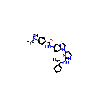 C[C@H](Nc1nccc(-n2cnc3cc(NC(=O)c4ccc(N(C)C)cc4)ccc32)n1)c1ccccc1